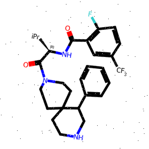 CC(C)[C@@H](NC(=O)c1cc(C(F)(F)F)ccc1F)C(=O)N1CCC2(CCNCC2c2ccccc2)CC1